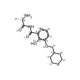 C[C@H](N)C(=O)NC(=O)c1nccc(OCC2CCCCC2)c1O